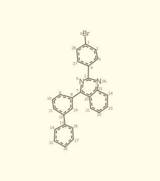 Brc1ccc(-c2nc(-c3cccc(-c4ccccc4)c3)c3ccccc3n2)cc1